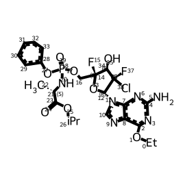 CCOc1nc(N)nc2c1ncn2[C@@H]1O[C@](F)(COP(=O)(N[C@@H](C)C(=O)OC(C)C)Oc2ccccc2)[C@@H](O)[C@]1(F)Cl